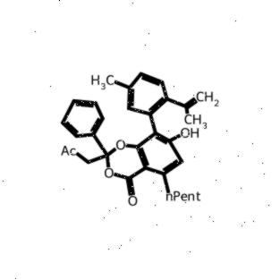 C=C(C)c1ccc(C)cc1-c1c(O)cc(CCCCC)c2c1OC(CC(C)=O)(c1ccccc1)OC2=O